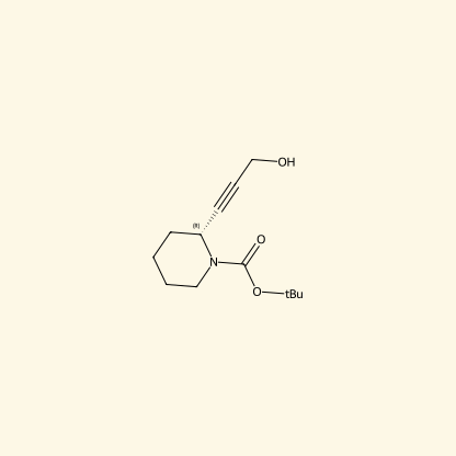 CC(C)(C)OC(=O)N1CCCC[C@@H]1C#CCO